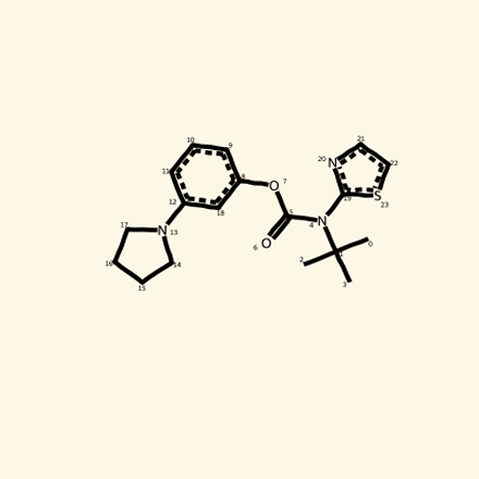 CC(C)(C)N(C(=O)Oc1cccc(N2CCCC2)c1)c1nccs1